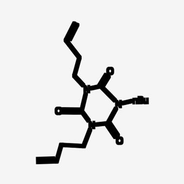 C=CCCn1c(=O)n(CCC=C)c(=O)n(CCCC)c1=O